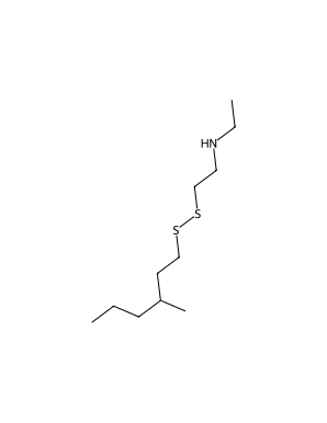 CCCC(C)CCSSCCNCC